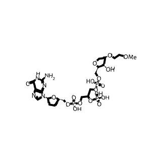 COCCO[C@H]1CO[C@H](COP(=O)(O)OCC(COP(=O)(O)OC[C@@H]2CC[C@H](n3cnc4c(=O)[nH]c(N)nc43)O2)OP(=O)(O)O)[C@H]1O